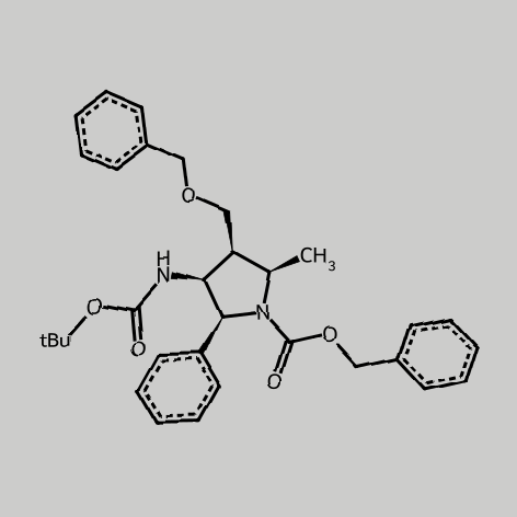 C[C@@H]1[C@H](COCc2ccccc2)[C@H](NC(=O)OC(C)(C)C)[C@H](c2ccccc2)N1C(=O)OCc1ccccc1